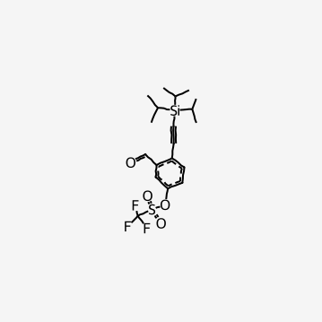 CC(C)[Si](C#Cc1ccc(OS(=O)(=O)C(F)(F)F)cc1C=O)(C(C)C)C(C)C